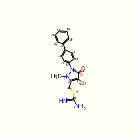 Cn1c(CSC(=N)N)c(Br)c(=O)n1-c1ccc(-c2ccccc2)cc1